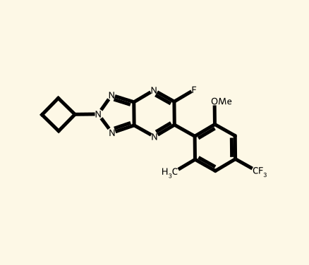 COc1cc(C(F)(F)F)cc(C)c1-c1nc2nn(C3CCC3)nc2nc1F